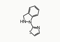 c1ccc2c(c1)CNN2c1nccs1